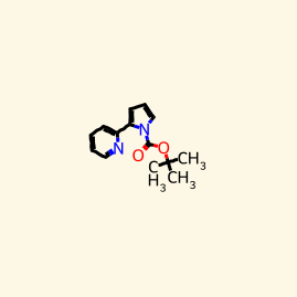 CC(C)(C)OC(=O)n1cccc1-c1ccccn1